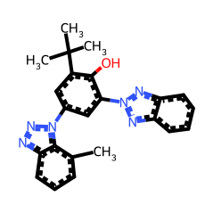 Cc1cccc2nnn(-c3cc(-n4nc5ccccc5n4)c(O)c(C(C)(C)C)c3)c12